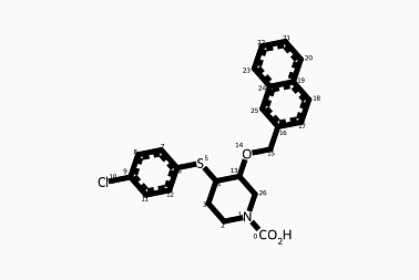 O=C(O)N1CCC(Sc2ccc(Cl)cc2)C(OCc2ccc3ccccc3c2)C1